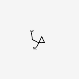 N#CC1(CN=O)CC1